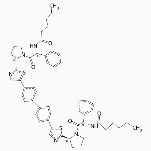 CCCCCC(=O)N[C@H](C(=O)N1CCC[C@H]1c1ncc(-c2ccc(-c3ccc(-c4cnc([C@@H]5CCCN5C(=O)[C@H](NC(=O)CCCCC)c5ccccc5)s4)cc3)cc2)s1)c1ccccc1